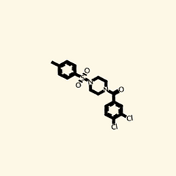 Cc1ccc(S(=O)(=O)N2CCN(C(=O)c3ccc(Cl)c(Cl)c3)CC2)cc1